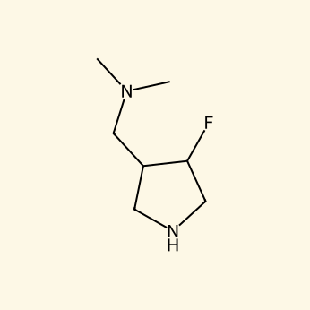 CN(C)CC1CNCC1F